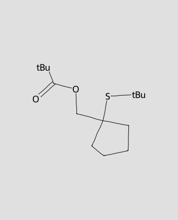 CC(C)(C)SC1(COC(=O)C(C)(C)C)CCCC1